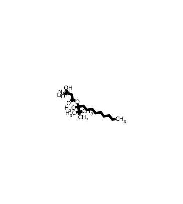 CCCCCCCCCC(C)(OC(=O)CC(=O)O)C(C)(C)C.[LiH].[NaH]